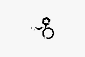 NCC[C@]1(c2ccccn2)CCCCCOCC1